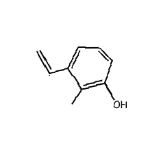 C=[C]c1cccc(O)c1C